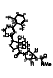 C/N=N\C(=C/CC1CC[C@](C)(C(=O)N2C[C@@H]3[C@H](C2)[C@H]3C(=O)NC)C1(C)C)c1c(F)cccc1F